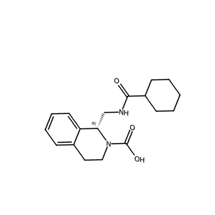 O=C(NC[C@H]1c2ccccc2CCN1C(=O)O)C1CCCCC1